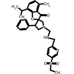 CCS(=O)(=O)c1ccc(CNCN2CC(c3ccccc3)C3(C2)Oc2c(C(C)C)ccc(C)c2C3=O)nc1